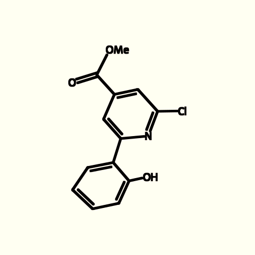 COC(=O)c1cc(Cl)nc(-c2ccccc2O)c1